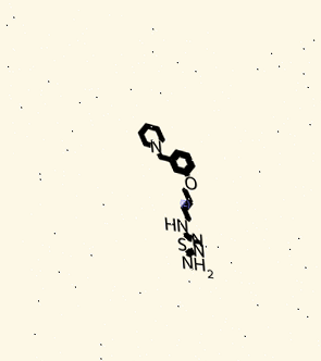 Nc1nnc(NC/C=C/COc2cccc(CN3CCCCC3)c2)s1